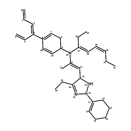 C=C/C=C(\C=C)C1=CCC(N(/C(C)=C/C2NN(C3=CCCCC3)N=C2CC)/C(=C/C=C\CC)CC)C=C1